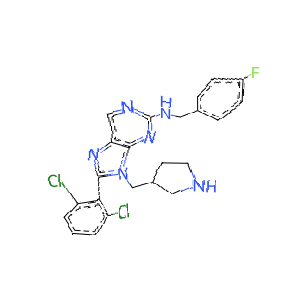 Fc1ccc(CNc2ncc3nc(-c4c(Cl)cccc4Cl)n(CC4CCNC4)c3n2)cc1